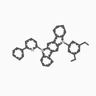 CCc1cc(CC)cc(-n2c3ccccc3c3cc4c(cc32)c2ccccc2n4-c2cccc(-c3ccccc3)n2)c1